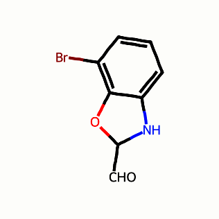 O=CC1Nc2cccc(Br)c2O1